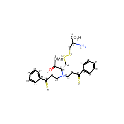 COC(=O)[C@H](CSSCC(N)C(=O)O)N(CCC(=S)c1ccccc1)CCC(=S)c1ccccc1